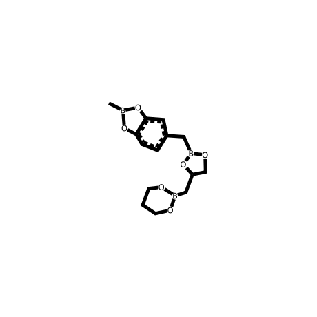 CB1Oc2ccc(CB3OCC(CB4OCCCO4)O3)cc2O1